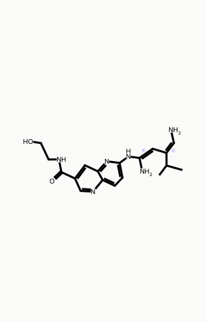 CC(C)C(=C/N)/C=C(\N)Nc1ccc2ncc(C(=O)NCCO)cc2n1